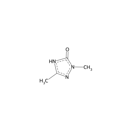 Cc1nn(C)c(=O)[nH]1